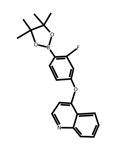 CC1(C)OB(c2ccc(Oc3ccnc4ccccc34)cc2F)OC1(C)C